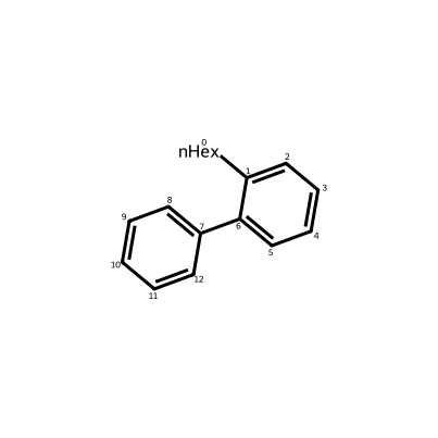 CCCCCCc1ccccc1-c1ccccc1